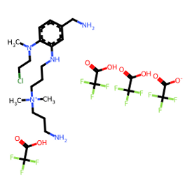 CN(CCCl)c1ccc(CN)cc1NCCC[N+](C)(C)CCCN.O=C(O)C(F)(F)F.O=C(O)C(F)(F)F.O=C(O)C(F)(F)F.O=C([O-])C(F)(F)F